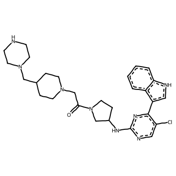 O=C(CN1CCC(CN2CCNCC2)CC1)N1CCC(Nc2ncc(Cl)c(-c3c[nH]c4ccccc34)n2)C1